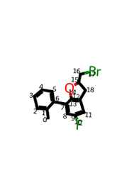 Cc1ccccc1-c1cc(F)cc2c1OC(CBr)C2